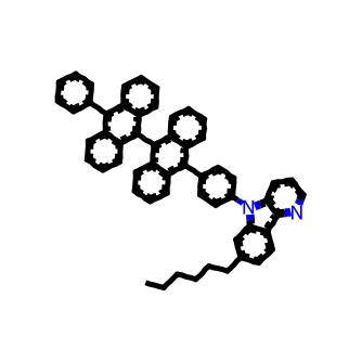 CCCCCCc1ccc2c3ncccc3n(-c3ccc(-c4c5ccccc5c(-c5c6ccccc6c(-c6ccccc6)c6ccccc56)c5ccccc45)cc3)c2c1